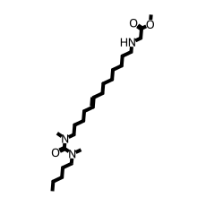 CCCCCN(C)C(=O)N(C)CCCCC=CCCCCCCCNCC(=O)OC